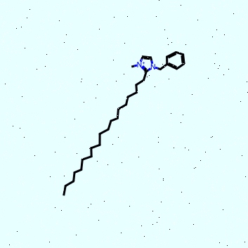 CCCCCCCCCCCCCCCCCCCc1n(Cc2ccccc2)cc[n+]1C